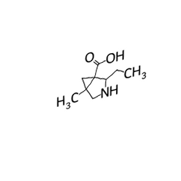 CCC1NCC2(C)CC12C(=O)O